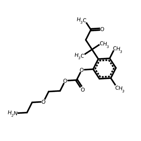 CC(=O)CC(C)(C)c1c(C)cc(C)cc1OC(=O)OCCOCCN